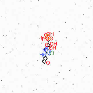 COc1cccc2cc(Nc3nc(Cl)nc4c3ncn4C3OC(CCP(=O)(O)CP(=O)(O)O)C(O)C3O)ccc12